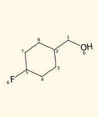 OCC1CCC(F)CC1